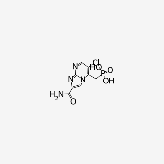 NC(=O)c1cn2c(CP(=O)(O)O)c(Cl)cnc2n1